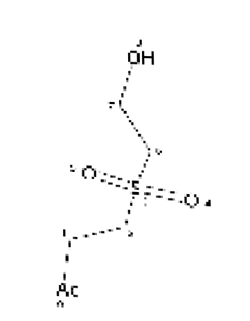 CC(=O)CCS(=O)(=O)CCO